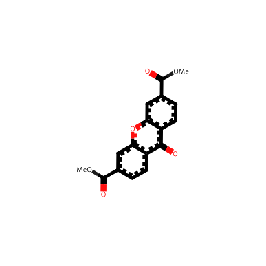 COC(=O)c1ccc2c(=O)c3ccc(C(=O)OC)cc3oc2c1